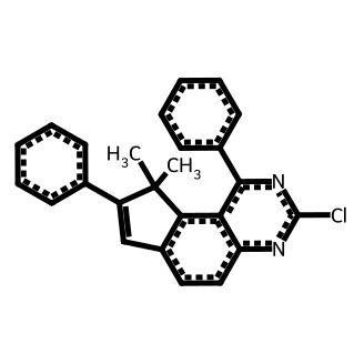 CC1(C)C(c2ccccc2)=Cc2ccc3nc(Cl)nc(-c4ccccc4)c3c21